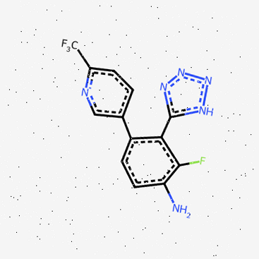 Nc1ccc(-c2ccc(C(F)(F)F)nc2)c(-c2nnn[nH]2)c1F